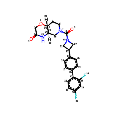 O=C1CO[C@@H]2CCN(C(=O)N3CC(c4ccc(-c5ccc(F)cc5F)cc4)C3)C[C@H]2N1